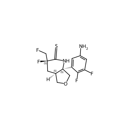 Nc1cc(F)c(F)c([C@]23COC[C@H]2C[C@](F)(CF)C(=S)N3)c1